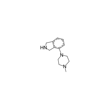 CN1CCN(c2cccc3c2CNC3)CC1